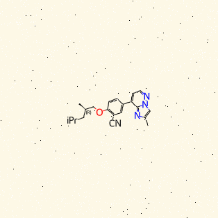 Cc1cn2nccc(-c3ccc(OC[C@H](C)CC(C)C)c(C#N)c3)c2n1